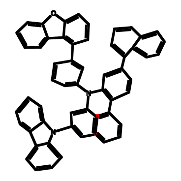 c1ccc(-c2ccc(-c3cccc4ccccc34)cc2N(c2cccc(-c3cccc4oc5ccccc5c34)c2)c2cccc(-n3c4ccccc4c4ccccc43)c2)cc1